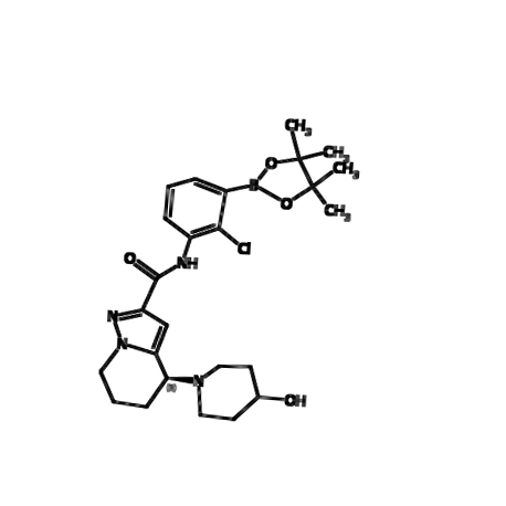 CC1(C)OB(c2cccc(NC(=O)c3cc4n(n3)CCC[C@@H]4N3CCC(O)CC3)c2Cl)OC1(C)C